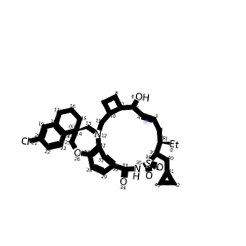 CC[C@@H]1C/C=C/C(O)C2CCC2CN2C[C@@]3(CCCc4cc(Cl)ccc43)COc3ccc(cc32)C(=O)NS(=O)(=O)C1CC1CC1